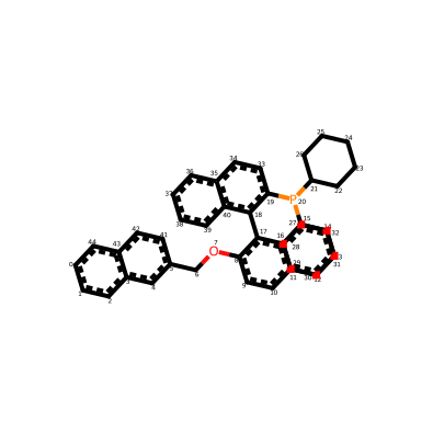 c1ccc2cc(COc3ccc4ccccc4c3-c3c(P(C4CCCCC4)C4CCCCC4)ccc4ccccc34)ccc2c1